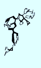 C[C@@H]1CN(c2ccnn3cc(-c4cnn([C@@H]5CC5(F)F)c4)cc23)C(=O)[C@]1(C#N)C1CC1